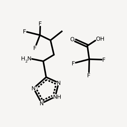 CC(CC(N)c1nn[nH]n1)C(F)(F)F.O=C(O)C(F)(F)F